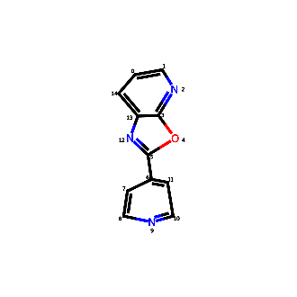 c1cnc2oc(-c3ccncc3)nc2c1